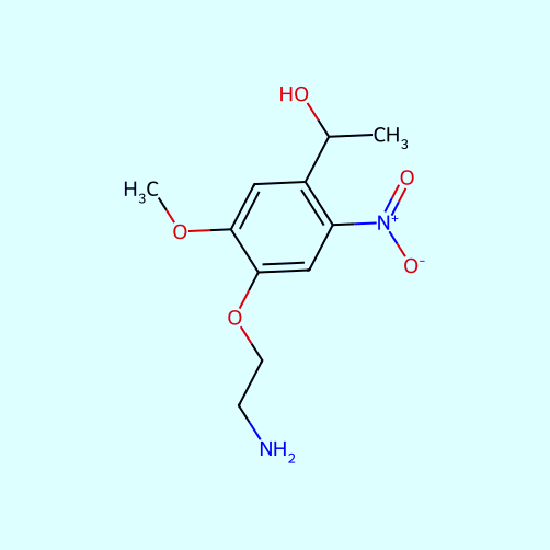 COc1cc(C(C)O)c([N+](=O)[O-])cc1OCCN